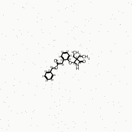 CCC1(CC)C(=O)N[C@H]1Oc1ccccc1CC(=O)OCc1ccccc1